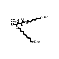 CCCCCCCCCCCCCCCCCCOC(CC)C(C(=O)O)C(C)C(=O)NCCCCCCCCCCCCCCCC